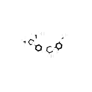 CCOc1ccc(F)c(N2CC[C@@H](Oc3ccc(N4C[C@H](C(F)(F)F)C[C@@H]4CC(=O)O)cc3)[C@H](C)C2)c1